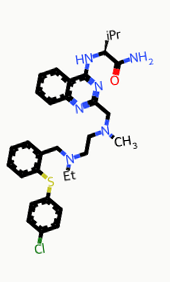 CCN(CCN(C)Cc1nc(N[C@H](C(N)=O)C(C)C)c2ccccc2n1)Cc1ccccc1Sc1ccc(Cl)cc1